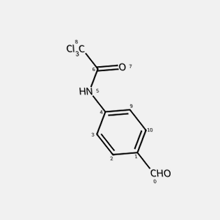 O=Cc1ccc(NC(=O)C(Cl)(Cl)Cl)cc1